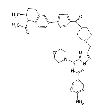 CC(=O)N1c2ccc(-c3ccc(C(=O)N4CCN(Cc5cn6cc(-c7cnc(N)nc7)nc(N7CCOCC7)c6n5)CC4)cc3)cc2CC[C@@H]1C